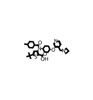 CC1CCC(C(=O)N(c2cc(C(C)(C)C)sc2C(=O)O)[C@H]2CC[C@H](Oc3cnccc3CN3CCC3)CC2)CC1